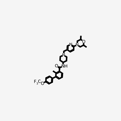 Cc1c(C(=O)NC2CCN(Cc3ccc(N4CC(C)OC(C)C4)nc3)CC2)cccc1-c1ccc(OC(F)(F)F)cc1